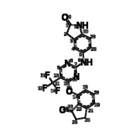 O=C1Cc2cc(Nc3ncc(C(F)(F)F)c(Oc4cccc5c4C(=O)CC5)n3)ccc2N1